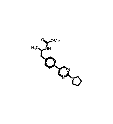 COC(=O)NC(C)Cc1ccc(-c2cnc(N3CCCC3)nc2)cc1